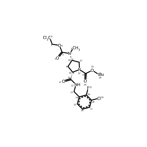 CN(C(=O)OCC(Cl)(Cl)Cl)[C@H]1C[C@@H](C(=O)NCc2cccc(Cl)c2F)N(C(=O)OC(C)(C)C)C1